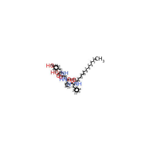 CCCCCCCCCCCCCCCC(=O)N[C@@H](Cc1ccccc1)C(=O)N1CCC[C@H]1C(=O)NCC(=O)N[C@@H](Cc1ccc(O)cc1)C(=O)O